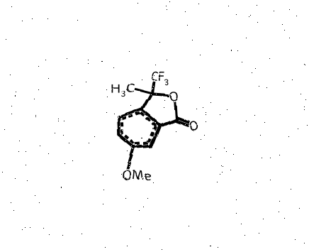 COc1ccc2c(c1)C(=O)OC2(C)C(F)(F)F